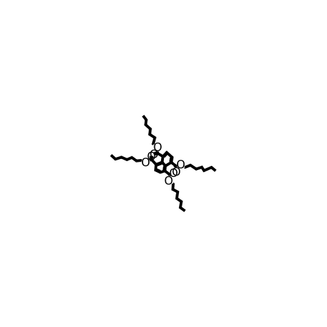 CCCCCCCOC(=O)c1ccc(C(=O)OCCCCCCC)c2c(C(=O)OCCCCCCC)ccc(C(=O)OCCCCCCC)c12